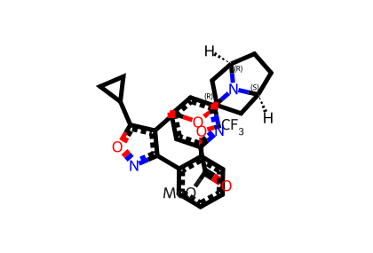 COC(=O)c1cccc(N2[C@@H]3CC[C@H]2C[C@@H](OCc2c(-c4ccccc4OC(F)(F)F)noc2C2CC2)C3)n1